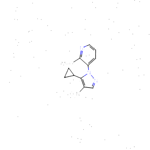 COc1ncccc1-n1ncc([N+](=O)[O-])c1C1CC1